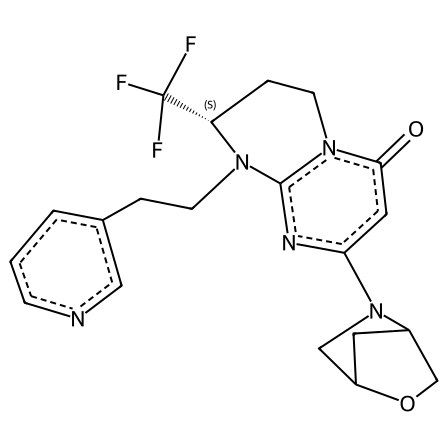 O=c1cc(N2CC3CC2CO3)nc2n1CC[C@@H](C(F)(F)F)N2CCc1cccnc1